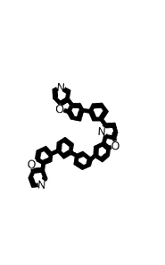 c1cc(-c2cccc(-c3ccc4oc5ccc(-c6cccc(-c7ccc8oc9ccncc9c8c7)c6)nc5c4c3)c2)cc(-c2ccc3oc4ccncc4c3c2)c1